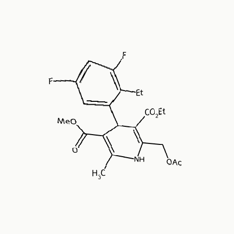 CCOC(=O)C1=C(COC(C)=O)NC(C)=C(C(=O)OC)C1c1cc(F)cc(F)c1CC